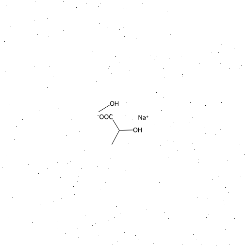 CC(O)C(=O)[O-].CO.[Na+]